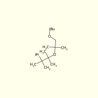 CC(C)C(C)(C)C(C)(C)OC(C)(C)COC(C)(C)C